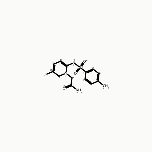 Cc1ccc(S(=O)(=O)NC2=CC=C(I)CN2CC(N)=O)cc1